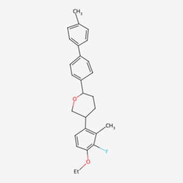 CCOc1ccc(C2CCC(c3ccc(-c4ccc(C)cc4)cc3)OC2)c(C)c1F